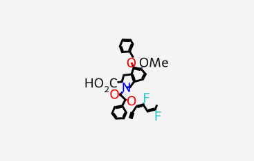 C#C/C(O[C@H](C(=O)N1Cc2ccc(OC)c(OCc3ccccc3)c2CC1C(=O)O)c1ccccc1)=C(F)\C=C(/C)F